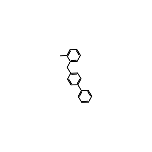 Cc1ccccc1Cc1ccc(-c2ccccc2)cc1